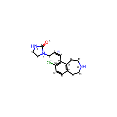 O=C1NCCN1C/C=C\c1c(Cl)ccc2c1CCNCC2